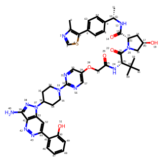 Cc1ncsc1-c1ccc([C@H](C)NC(=O)[C@@H]2C[C@@H](O)CN2C(=O)[C@@H](NC(=O)COc2cnc(N3CCC(n4nc(N)c5nnc(-c6ccccc6O)cc54)CC3)nc2)C(C)(C)C)cc1